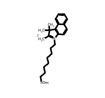 CCCCCCCCCCCCCCCCCC[N+]1=C(C)C(C)(C)c2c1ccc1ccccc21.[I-]